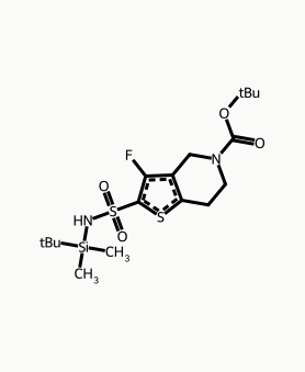 CC(C)(C)OC(=O)N1CCc2sc(S(=O)(=O)N[Si](C)(C)C(C)(C)C)c(F)c2C1